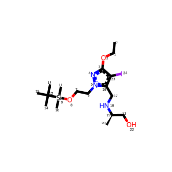 CCOc1nn(CCO[Si](C)(C)C(C)(C)C)c(CN[C@H](C)CO)c1I